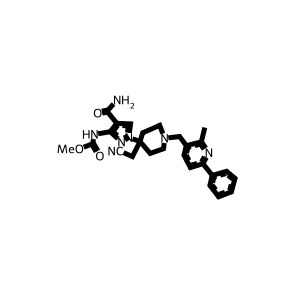 COC(=O)Nc1nn(C2(CC#N)CCN(Cc3ccc(-c4ccccc4)nc3C)CC2)cc1C(N)=O